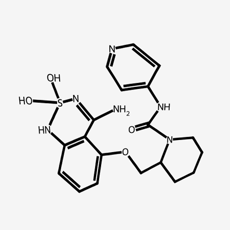 NC1=NS(O)(O)Nc2cccc(OCC3CCCCN3C(=O)Nc3ccncc3)c21